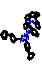 c1ccc(-c2ccc(-c3nc(-c4ccc(-c5ccccc5)cc4)nc(-n4c5ccccc5c5c4ccc4c6ccccc6n(-c6ccccc6-c6ccccc6)c45)n3)cc2)cc1